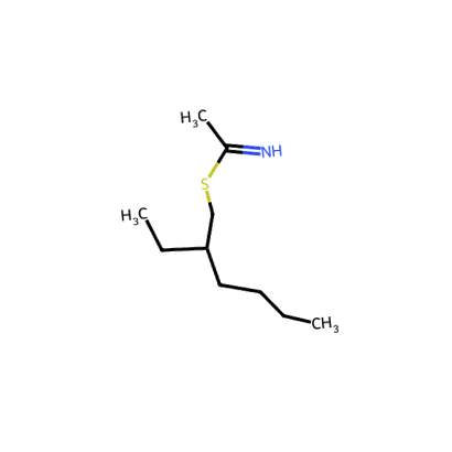 CCCCC(CC)CSC(C)=N